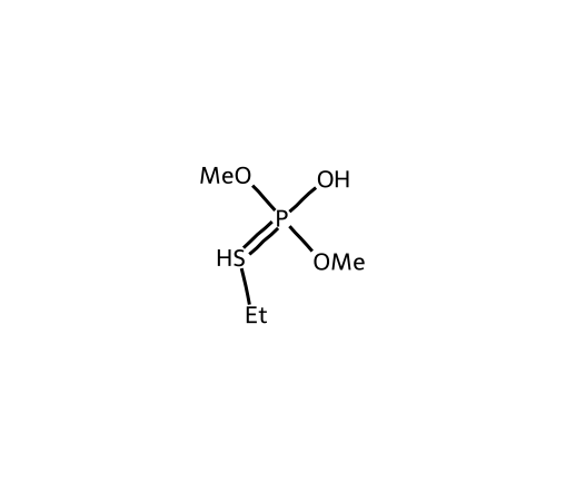 CC[SH]=P(O)(OC)OC